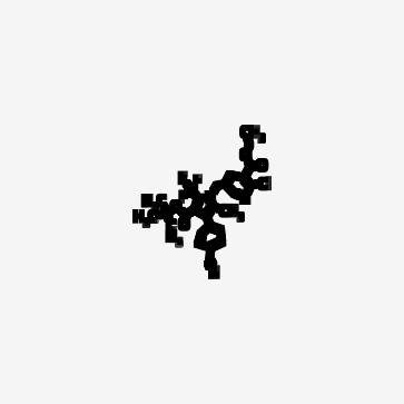 CCOC(=O)c1cc(Cn2c(C)c(-c3ccc(C#N)cc3)c(C(=O)OC(C)(C)C)c2C(F)(F)F)cnc1Cl